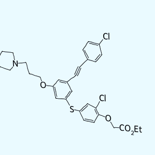 CCOC(=O)COc1ccc(Sc2cc(C#Cc3ccc(Cl)cc3)cc(OCCCN3CCCCC3)c2)cc1Cl